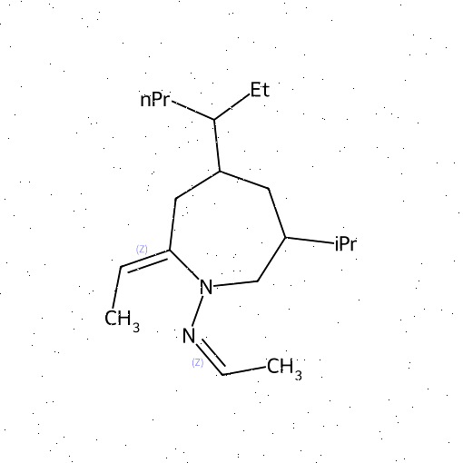 C/C=N\N1CC(C(C)C)CC(C(CC)CCC)C/C1=C/C